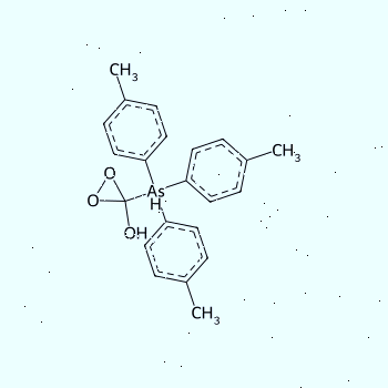 Cc1ccc([AsH](c2ccc(C)cc2)(c2ccc(C)cc2)C2(O)OO2)cc1